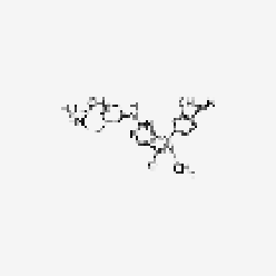 CCn1c(=O)c2cnc(Nc3ccc4c(c3)CCNC4(C)C)nc2n1-c1ccc(C#N)c(C)c1